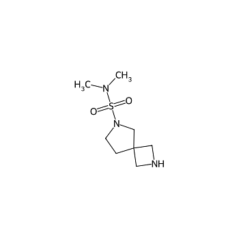 CN(C)S(=O)(=O)N1CCC2(CNC2)C1